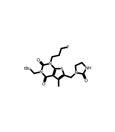 Cc1c(CN2CCNC2=O)sc2c1c(=O)n(CC(C)(C)C)c(=O)n2CCCF